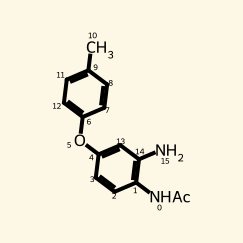 CC(=O)Nc1ccc(Oc2ccc(C)cc2)cc1N